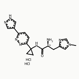 Cl.Cl.Cn1cnc(C[C@H](N)C(=O)NC2(c3ccc(-c4cn[nH]c4)nn3)CC2)c1